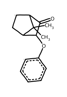 CC1(C)C2[CH]CC1C(Oc1[c]cccc1)C2=O